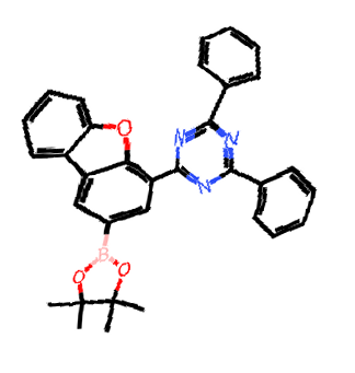 CC1(C)OB(c2cc(-c3nc(-c4ccccc4)nc(-c4ccccc4)n3)c3oc4ccccc4c3c2)OC1(C)C